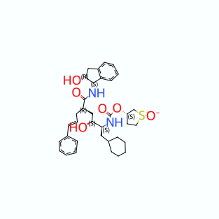 O=C(N[C@@H](CC1CCCCC1)[C@@H](O)C[C@@H](CC=Cc1ccccc1)C(=O)N[C@H]1c2ccccc2C[C@H]1O)O[C@H]1CC[S+]([O-])C1